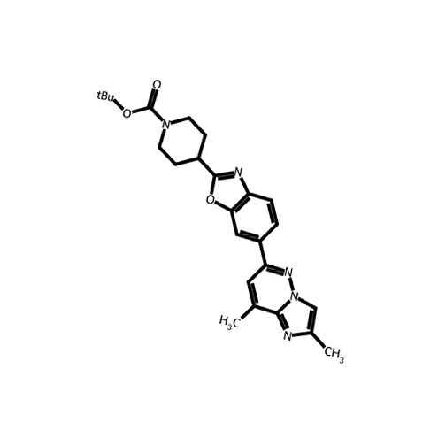 Cc1cn2nc(-c3ccc4nc(C5CCN(C(=O)OC(C)(C)C)CC5)oc4c3)cc(C)c2n1